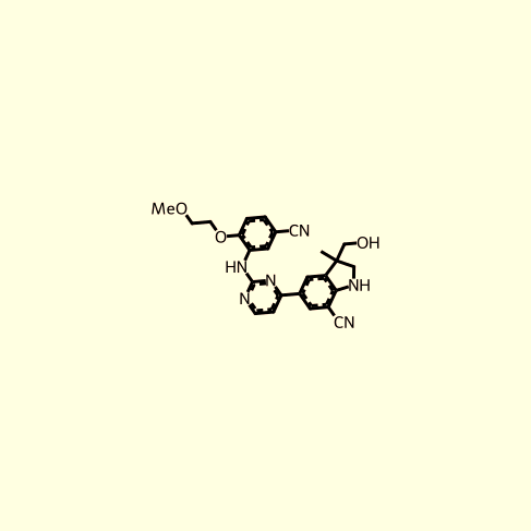 COCCOc1ccc(C#N)cc1Nc1nccc(-c2cc(C#N)c3c(c2)C(C)(CO)CN3)n1